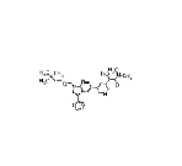 CN(C)C(=O)C(O)c1cncc(-c2cnc3c(c2)c(-c2ncco2)cn3COCC[Si](C)(C)C)c1